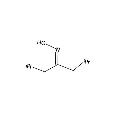 CC(C)CC(CC(C)C)=NO